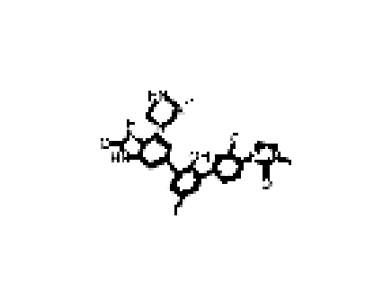 C[C@@H]1CN(C2=CC(c3cc(F)cc(-c4ccc(-n5ccn(C)c5=O)c(Cl)c4)c3O)=CC3NC(=O)NC23)CCN1